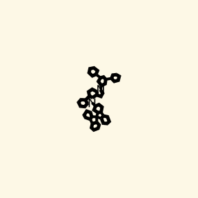 c1ccc(-c2cc(-c3ccccc3)cc(-n3ccc4c3ccc3c5ccccc5n(-c5ccc6c(c5)C5(c7ccccc7-c7ccccc75)c5ccccc5-6)c34)c2)cc1